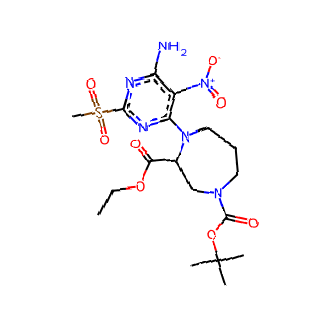 CCOC(=O)C1CN(C(=O)OC(C)(C)C)CCCN1c1nc(S(C)(=O)=O)nc(N)c1[N+](=O)[O-]